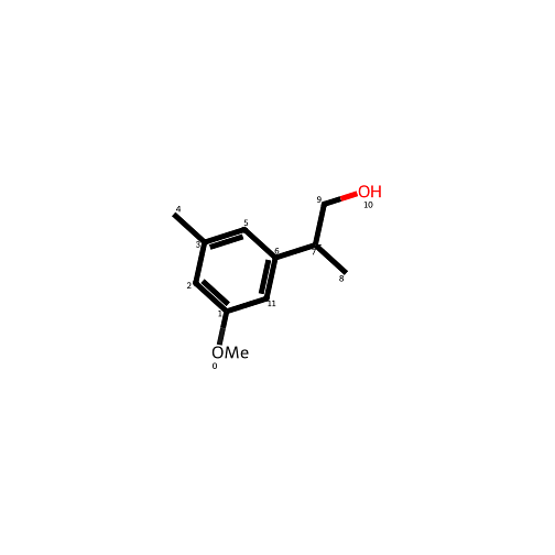 COc1cc(C)cc([C](C)CO)c1